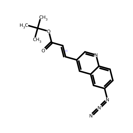 CC(C)(C)OC(=O)/C=C/c1cnc2ccc(N=[N+]=[N-])cc2c1